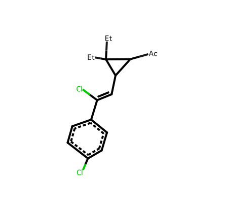 CCC1(CC)C(/C=C(\Cl)c2ccc(Cl)cc2)C1C(C)=O